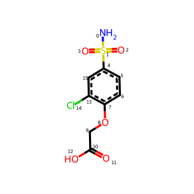 NS(=O)(=O)c1ccc(OCC(=O)O)c(Cl)c1